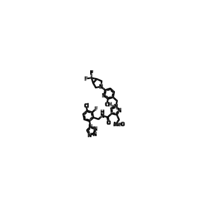 COCc1nn(Cc2ccc(N3CC4C(C3)C4(F)F)nc2C)cc1C(=O)NCc1c(-n2cnnn2)ccc(Cl)c1F